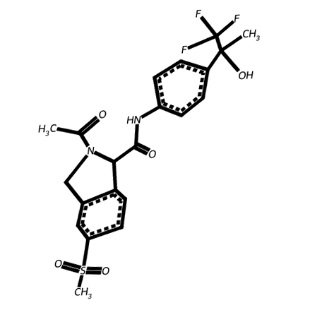 CC(=O)N1Cc2cc(S(C)(=O)=O)ccc2C1C(=O)Nc1ccc(C(C)(O)C(F)(F)F)cc1